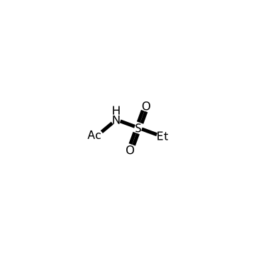 [CH2]CS(=O)(=O)NC(C)=O